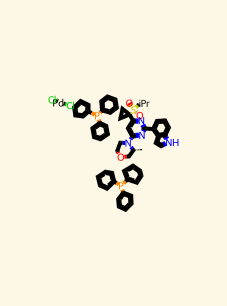 CC(C)S(=O)(=O)C1(c2cc(N3CCOC[C@H]3C)nc(-c3cccc4[nH]ccc34)n2)CC1.[Cl][Pd][Cl].c1ccc(P(c2ccccc2)c2ccccc2)cc1.c1ccc(P(c2ccccc2)c2ccccc2)cc1